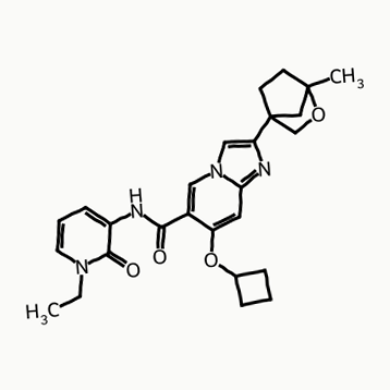 CCn1cccc(NC(=O)c2cn3cc(C45CCC(C)(C4)OC5)nc3cc2OC2CCC2)c1=O